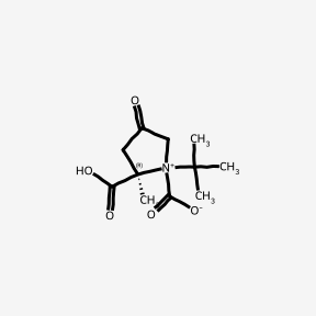 CC(C)(C)[N+]1(C(=O)[O-])CC(=O)C[C@]1(C)C(=O)O